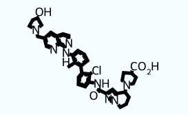 Cc1c(Nc2nccc3cc(CN4CC[C@@H](O)C4)cnc23)cccc1-c1cccc(NC(=O)c2cc3n(n2)CCCC3N2CCC(C(=O)O)CC2)c1Cl